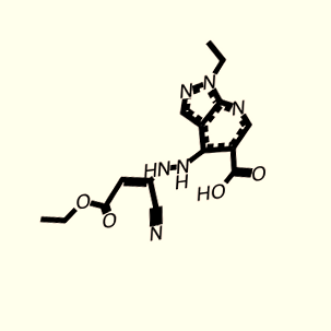 CCOC(=O)C=C(C#N)NNc1c(C(=O)O)cnc2c1cnn2CC